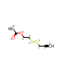 C#CCSSCCOC(=O)C(C)(C)C